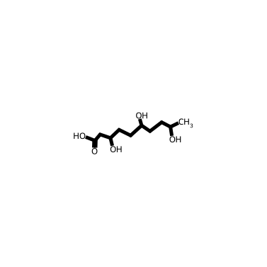 CC(O)CCC(O)CCC(O)CC(=O)O